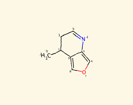 [CH2]C1CC=Nc2cocc21